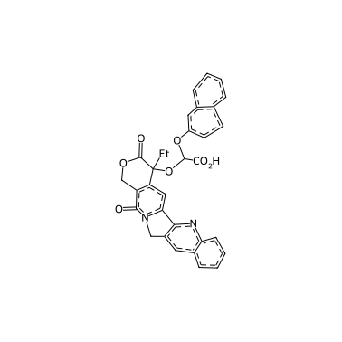 CCC1(OC(Oc2ccc3ccccc3c2)C(=O)O)C(=O)OCc2c1cc1n(c2=O)Cc2cc3ccccc3nc2-1